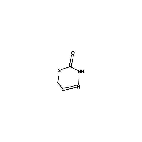 O=C1NN=[C]CS1